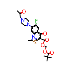 CC(=O)CN1CCN(c2cc3c(cc2F)c(=O)c(C(=O)OCOC(=O)C(C)(C)C)c2n3C(C)S2)CC1